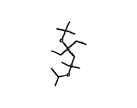 CC[Si](CC)(C[Si](C)(C)OC(C)C)OC(C)(C)C